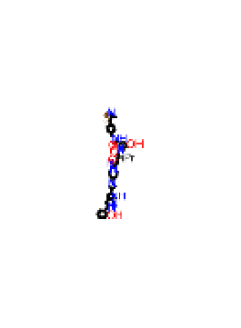 Cc1ncsc1-c1ccc(CNC(=O)[C@@H]2C[C@@H](O)CN2C(=O)[C@@H](c2cc(N3CCC(N4CC(c5cc6cc(-c7ccccc7O)nnc6[nH]5)C4)CC3)no2)C(C)C)cc1